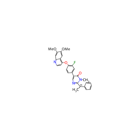 COc1cc2nccc(Oc3ccc(-c4cnc([C@H](C)c5ccccc5)n(C)c4=O)cc3F)c2cc1OC